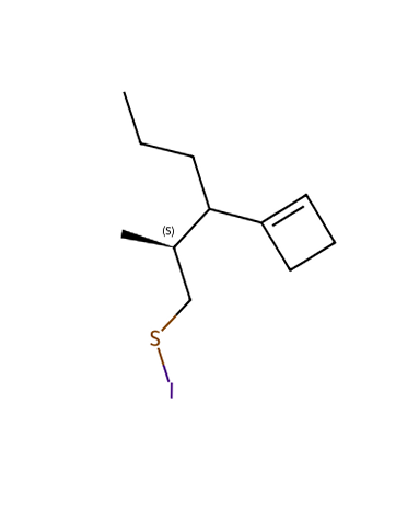 CCCC(C1=CCC1)[C@H](C)CSI